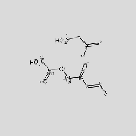 C=C(C)CS(=O)(=O)O.CC=CC(=O)NOC(=O)C(=O)O